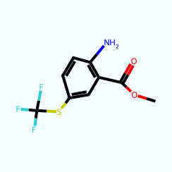 COC(=O)c1cc(SC(F)(F)F)ccc1N